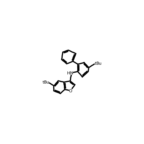 CC(C)(C)c1ccc(Nc2coc3ccc(C(C)(C)C)cc23)c(-c2ccccc2)c1